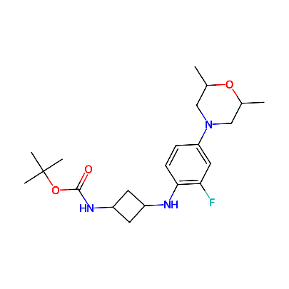 CC1CN(c2ccc(NC3CC(NC(=O)OC(C)(C)C)C3)c(F)c2)CC(C)O1